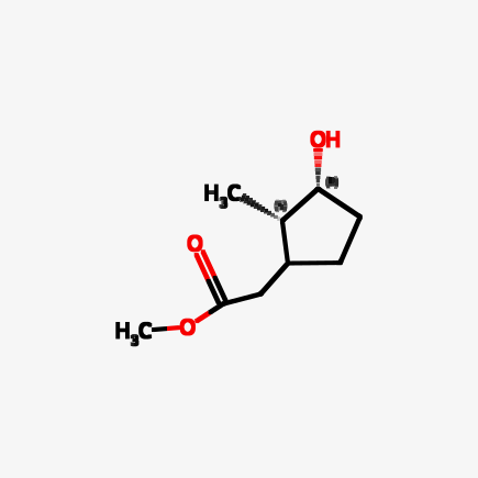 COC(=O)CC1CC[C@@H](O)[C@H]1C